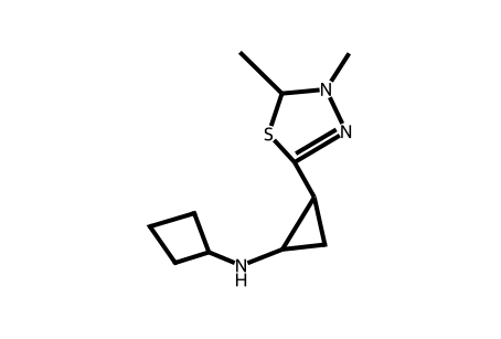 CC1SC(C2CC2NC2CCC2)=NN1C